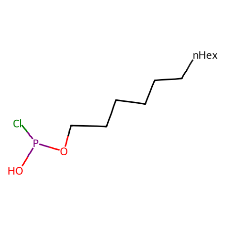 CCCCCCCCCCCCOP(O)Cl